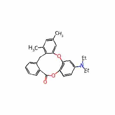 CCN(CC)c1ccc2c(c1)Oc1cc(C)cc(C)c1Cc1ccccc1C(=O)O2